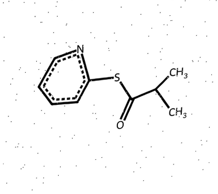 CC(C)C(=O)Sc1ccccn1